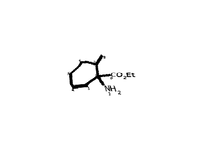 CCOC(=O)C1(N)CCCCC1C